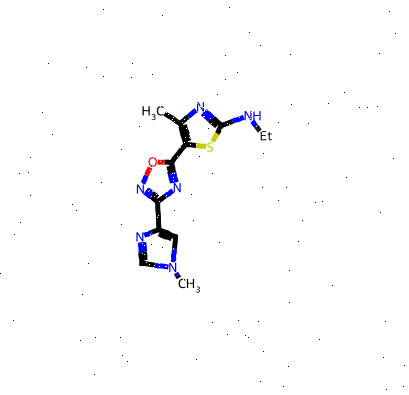 CCNc1nc(C)c(-c2nc(-c3cn(C)cn3)no2)s1